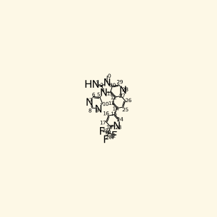 Cn1c(=N)n(-c2cncnc2)c2c3cc(-c4ccc(C(F)(F)F)nc4)ccc3ncc21